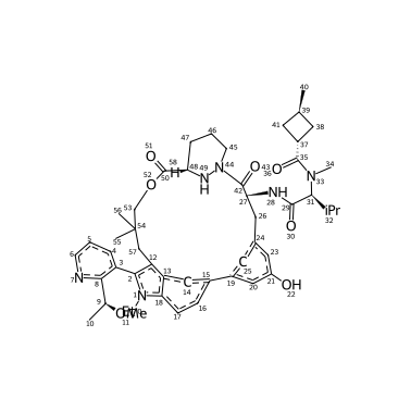 CCn1c(-c2cccnc2[C@H](C)OC)c2c3cc(ccc31)-c1cc(O)cc(c1)C[C@H](NC(=O)[C@H](C(C)C)N(C)C(=O)[C@H]1C[C@H](C)C1)C(=O)N1CCC[C@H](N1)C(=O)OCC(C)(C)C2